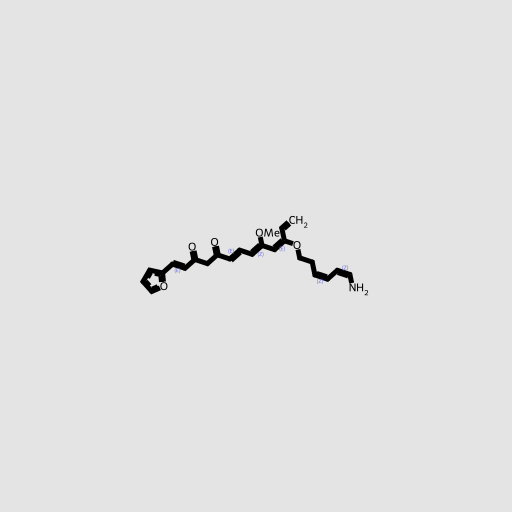 C=C\C(=C/C(=C/C=C/C(=O)CC(=O)/C=C/c1ccco1)OC)OCC/C=C\C=C/N